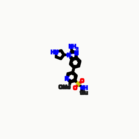 COc1ncc(-c2ccc3nc(N)n(C4CCNC4)c3c2)cc1S(=O)(=O)NC(C)(C)C